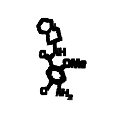 COc1cc(N)c(Cl)cc1C(=O)NC1CCN2CCCCC2C1